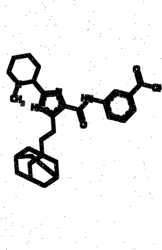 CN1CCCCC1c1nc(C(=O)Nc2cccc(C(=O)O)c2)c(CCC23CC4CC(CC(C4)C2)C3)[nH]1